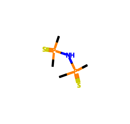 CP(C)(=S)NP(C)(C)=S